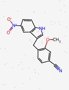 COc1cc(C#N)ccc1Cc1c[nH]c2ccc([N+](=O)[O-])cc12